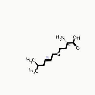 CC(C)C/C=C/CSCC[C@H](N)C(=O)O